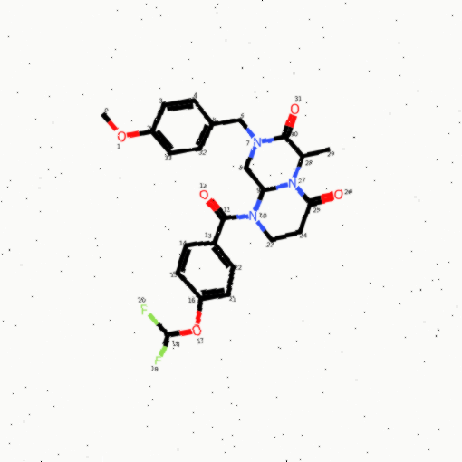 COc1ccc(CN2CC3N(C(=O)c4ccc(OC(F)F)cc4)CCC(=O)N3C(C)C2=O)cc1